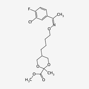 COC(=O)C1(C)OCC(CCCCON=C(C)c2ccc(F)c(Cl)c2)CO1